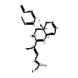 C=C/C=C\C(=C/C)[C@H]1NC(/C(C)=C/C=C(\C)Br)=NC2=CC=CC[C@H]21